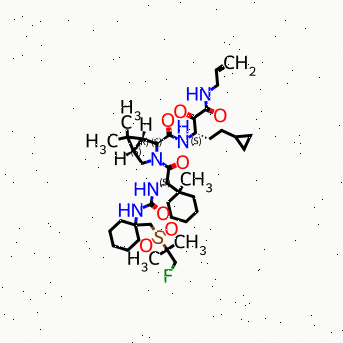 C=CCNC(=O)C(=O)[C@H](CCC1CC1)NC(=O)[C@@H]1[C@@H]2[C@H](CN1C(=O)[C@@H](NC(=O)NC1(CS(=O)(=O)C(C)(C)CF)CCCCC1)C1(C)CCCCC1)C2(C)C